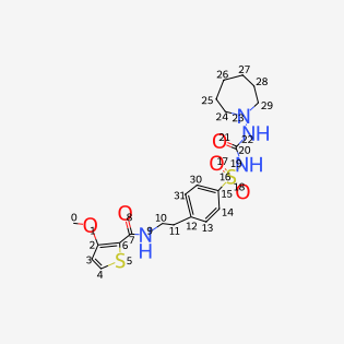 COc1ccsc1C(=O)NCCc1ccc(S(=O)(=O)NC(=O)NN2CCCCCC2)cc1